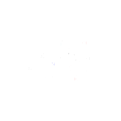 CC(=O)/C=C\N(C(C)=O)C1O[C@@](CO)(C(F)(F)F)[C@@H](O)[C@H]1F